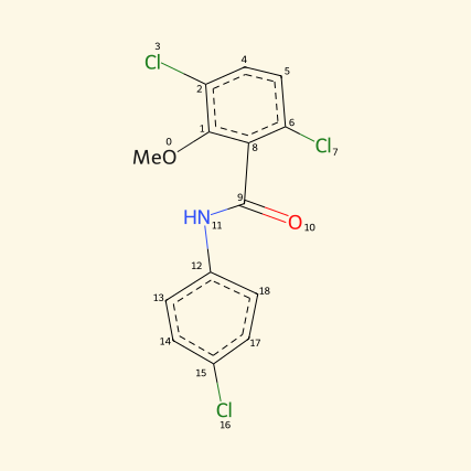 COc1c(Cl)ccc(Cl)c1C(=O)Nc1ccc(Cl)cc1